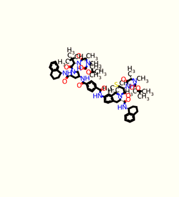 CSC(C)(C)[C@H](NC(=O)[C@H](C)N(C)C(=O)OC(C)(C)C)C(=O)N1Cc2cc(NC(=O)c3ccc(C(=O)N[C@H]4C[C@@H](C(=O)N[C@@H]5CCCc6ccccc65)N(C(=O)[C@@H](NC(=O)[C@H](C)N(C)C(=O)OC(C)(C)C)C(C)(C)C)C4)cc3)ccc2C[C@H]1C(=O)N[C@@H]1CCCc2ccccc21